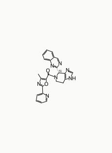 Cc1nc(-c2ccccn2)oc1C(=O)N1CCc2[nH]cnc2[C@H]1c1ncc2ccccc2n1